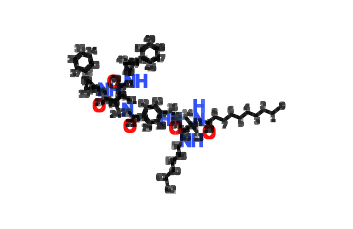 CCCCCCCCCC(=O)NC(C)(CNCc1ccc(C(=O)N2C[C@@H](C(=O)N[C@H]3C[C@@H]3c3ccccc3)[C@H](C(=O)N[C@H]3C[C@@H]3c3ccccc3)C2)cc1)C(=O)NCCCCCC